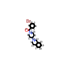 O=C(c1cccc(Br)c1)N1CCC(N2CCc3ccccc3C2)CC1